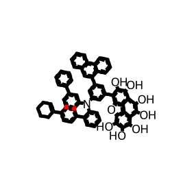 Oc1c(O)c2oc3c(-c4cc(-c5cc6ccccc6c6ccccc56)cc(N(c5cccc(-c6ccccc6)c5)c5ccccc5-c5ccc(C6=CCCCC6)cc5)c4)c(O)c(O)c4c(O)c(O)c(c1O)c2c34